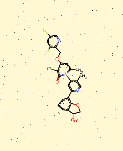 Cc1cnc(-c2cccc3c2OC[C@@H]3O)cc1-n1c(C)cc(OCc2ncc(F)cc2F)c(Cl)c1=O